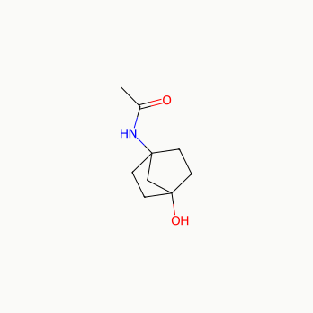 CC(=O)NC12CCC(O)(CC1)C2